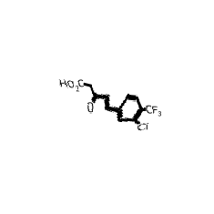 O=C(O)CC(=O)C=Cc1ccc(C(F)(F)F)c(Cl)c1